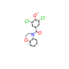 COc1c(Cl)cc(C(=O)N2CCOc3ccccc32)cc1Cl